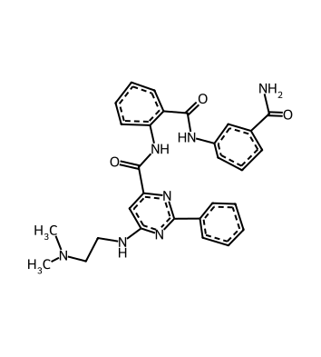 CN(C)CCNc1cc(C(=O)Nc2ccccc2C(=O)Nc2cccc(C(N)=O)c2)nc(-c2ccccc2)n1